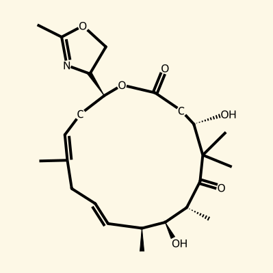 CC1=NC([C@@H]2C/C=C(/C)C/C=C/[C@H](C)[C@H](O)[C@@H](C)C(=O)C(C)(C)[C@@H](O)CC(=O)O2)CO1